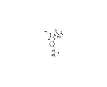 C=CCOC(=O)C1=C(c2cccc(CNC(=O)NC)c2)C[C@@H]2[C@@H](C(C)C)C(=O)N12